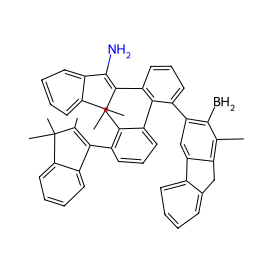 Bc1c(-c2cccc(C3=C(N)c4ccccc4C3(C)C)c2-c2cccc(C3=C(C)C(C)(C)c4ccccc43)c2C)cc2c(c1C)Cc1ccccc1-2